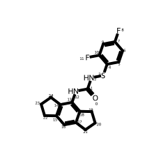 O=C(NSc1ccc(F)cc1F)Nc1c2c(cc3c1CCC3)CCC2